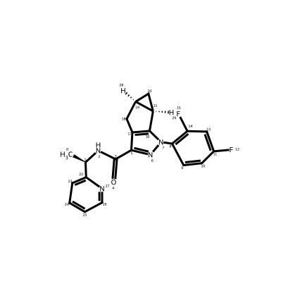 C[C@@H](NC(=O)c1nn(-c2ccc(F)cc2F)c2c1C[C@H]1C[C@@H]21)c1ccccn1